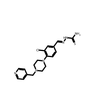 NC(=S)N/N=C/c1ccc(N2CCN(Cc3ccncc3)CC2)c(Cl)c1